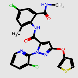 CNC(=O)c1cc(Cl)cc(C)c1NC(=O)c1cc(Oc2ccsc2)nn1-c1ncccc1Cl